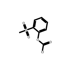 CS(=O)(=O)c1ccccc1OC(=O)Cl